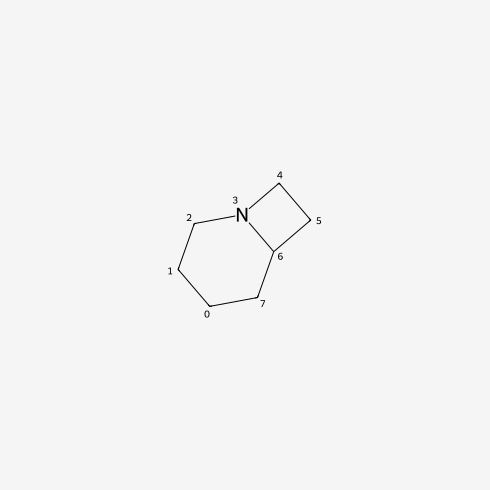 C1CCN2CCC2C1